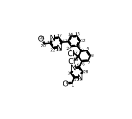 O=Cc1cnc(C2=CC=CC(c3cccc(-c4cnc(C=O)cn4)c3)C2(Cl)Cl)cn1